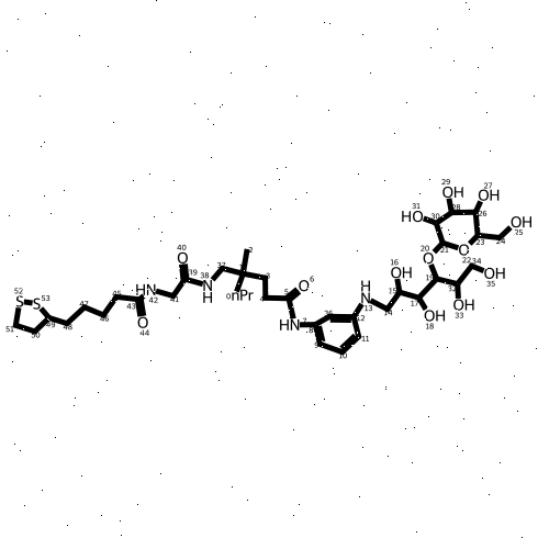 CCCC(C)(CCC(=O)Nc1cccc(NCC(O)C(O)C(OC2OC(CO)C(O)C(O)C2O)C(O)CO)c1)CNC(=O)CNC(=O)CCCCC1CCSS1